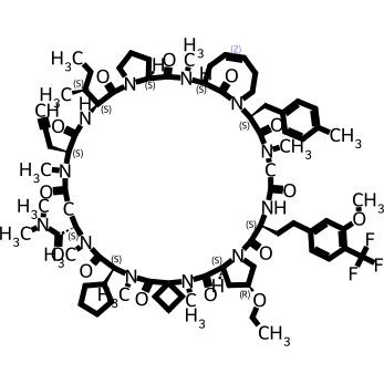 C#CC[C@H]1C(=O)N[C@@H]([C@@H](C)CC)C(=O)N2CCC[C@H]2C(=O)N(C)[C@H]2C/C=C\CCN(C2=O)[C@@H](Cc2ccc(C)cc2)C(=O)N(C)CC(=O)N[C@@H](CCc2ccc(C(F)(F)F)c(OC)c2)C(=O)N2C[C@H](OCC)C[C@H]2C(=O)N(C)C2(CCC2)C(=O)N(C)[C@@H](C2CCCC2)C(=O)N(C)[C@H](C(=O)N(C)C)CC(=O)N1C